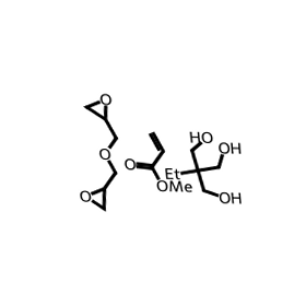 C(OCC1CO1)C1CO1.C=CC(=O)OC.CCC(CO)(CO)CO